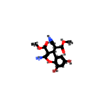 COC(=O)C1=C(N)Oc2c(Br)cc(Br)cc2C1C(C#N)C(=O)OC